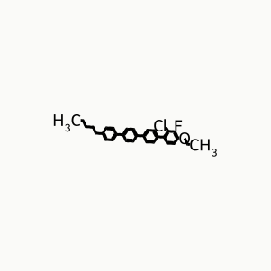 CCCCCc1ccc(-c2ccc(-c3ccc(-c4ccc(OCC)c(F)c4Cl)cc3)cc2)cc1